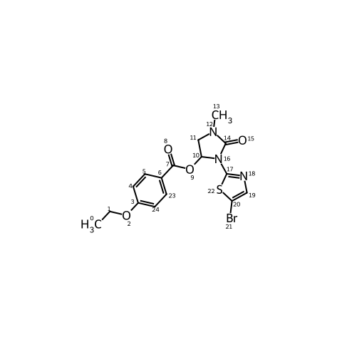 CCOc1ccc(C(=O)OC2CN(C)C(=O)N2c2ncc(Br)s2)cc1